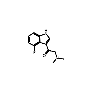 CN(C)CC(=O)c1c[nH]c2cccc(F)c12